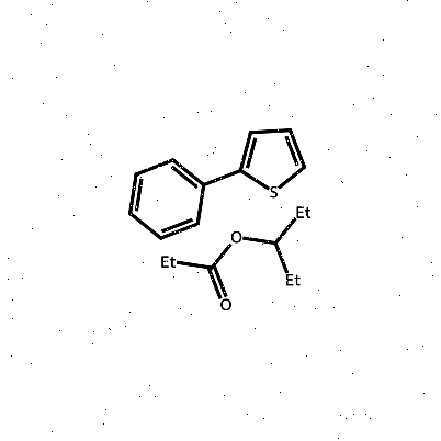 CCC(=O)OC(CC)CC.c1ccc(-c2cccs2)cc1